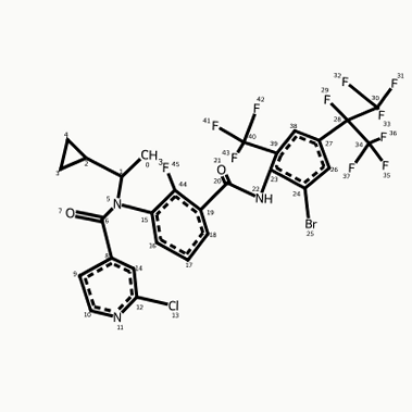 CC(C1CC1)N(C(=O)c1ccnc(Cl)c1)c1cccc(C(=O)Nc2c(Br)cc(C(F)(C(F)(F)F)C(F)(F)F)cc2C(F)(F)F)c1F